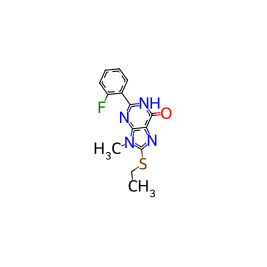 CCSc1nc2c(=O)[nH]c(-c3ccccc3F)nc2n1C